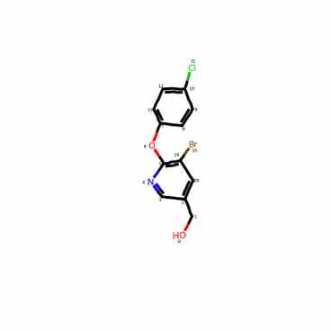 OCc1cnc(Oc2ccc(Cl)cc2)c(Br)c1